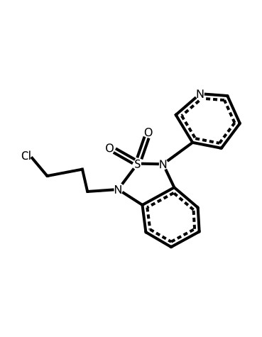 O=S1(=O)N(CCCCl)c2ccccc2N1c1cccnc1